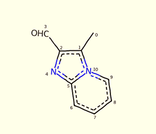 Cc1c(C=O)nc2ccccn12